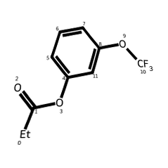 CCC(=O)Oc1cccc(OC(F)(F)F)c1